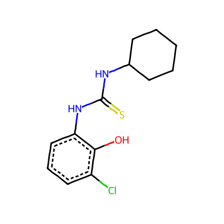 Oc1c(Cl)cccc1NC(=S)NC1CCCCC1